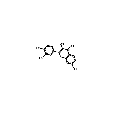 OC1=C(c2ccc(O)c(O)c2)Oc2cc(O)ccc2[C@@H]1O